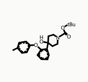 Cc1ccc(Oc2ccccc2C2(O)CCN(C(=O)OC(C)(C)C)CC2)cc1